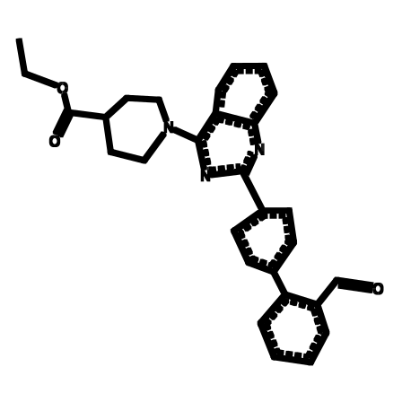 CCOC(=O)C1CCN(c2nc(-c3ccc(-c4ccccc4C=O)cc3)nc3ccccc23)CC1